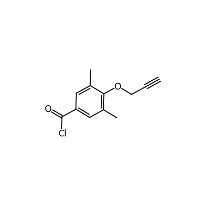 C#CCOc1c(C)cc(C(=O)Cl)cc1C